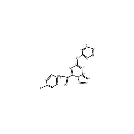 O=C(Nc1ccc(F)cn1)c1cc(Oc2cncnc2)cc2ncnn12